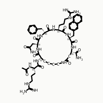 CC(=O)N[C@@H](CCCNC(=N)N)C(=O)N[C@H]1CCCCNC(=O)C[C@@H](C(N)=O)NC(=O)[C@H](Cc2ccc3ccccc3c2)NC(=O)[C@H](CCCNC(=N)N)NC(=O)[C@@H](Cc2ccccc2)NC(=O)[C@H](CC(N)=O)NC1=O